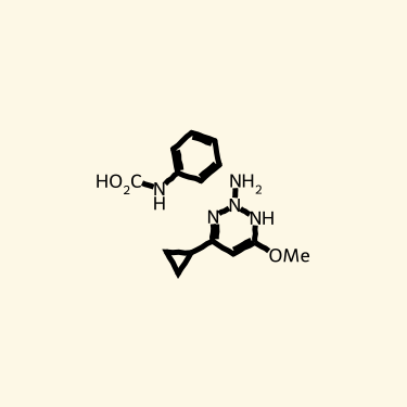 COC1=CC(C2CC2)=NN(N)N1.O=C(O)Nc1ccccc1